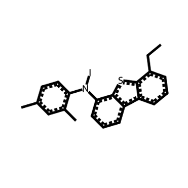 CCc1cccc2c1sc1c(N(I)c3ccc(C)cc3C)cccc12